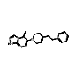 Cc1c(N2CC=C(CCc3ccccc3)CC2)cnc2[nH]ccc12